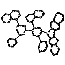 c1ccc(-c2nc(-c3cc(-c4ccccc4)c(-n4c5cc6ccccc6cc5c5cc6ccccc6cc54)cc3-c3cccc4ccccc34)nc(-c3cccc4ccccc34)n2)cc1